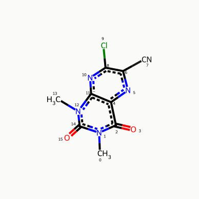 Cn1c(=O)c2nc(C#N)c(Cl)nc2n(C)c1=O